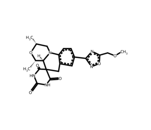 COCc1nc(-c2ccc3c(c2)CC2(C(=O)NC(=O)NC2=O)[C@H]2[C@H](C)O[C@H](C)CN32)no1